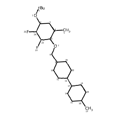 CCCCOC1CC(C)C(OCC2CCC(C3CCC(C)CC3)CC2)C(F)C1F